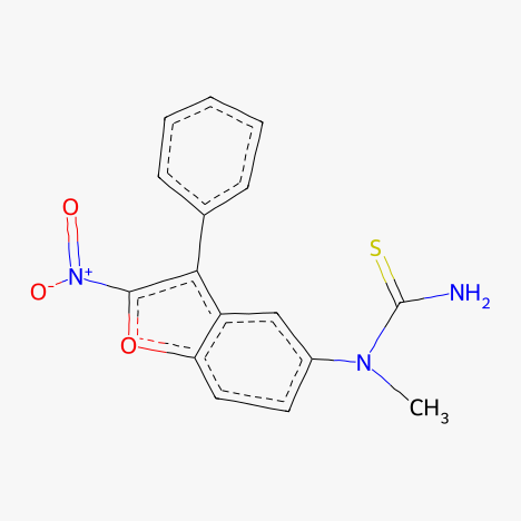 CN(C(N)=S)c1ccc2oc([N+](=O)[O-])c(-c3ccccc3)c2c1